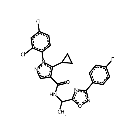 CC(NC(=O)c1cnn(-c2ccc(Cl)cc2Cl)c1C1CC1)c1nc(-c2ccc(F)cc2)no1